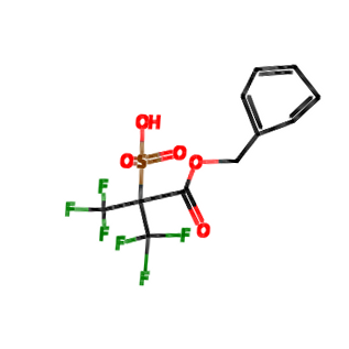 O=C(OCc1ccccc1)C(C(F)(F)F)(C(F)(F)F)S(=O)(=O)O